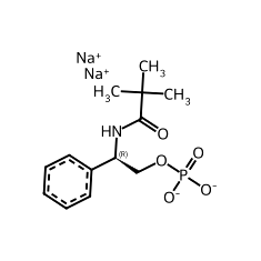 CC(C)(C)C(=O)N[C@@H](COP(=O)([O-])[O-])c1ccccc1.[Na+].[Na+]